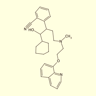 CN(CCOc1cccc2cccnc12)CCC(c1ccccc1C#N)C(O)C1CCCCC1